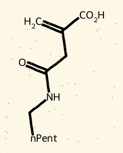 C=C(CC(=O)NCCCCCC)C(=O)O